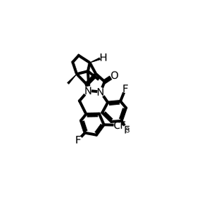 CC1(C)[C@@H]2CC[C@@]1(C)c1c2c(=O)n(-c2ccc(F)cc2F)n1Cc1cc(F)cc(C(F)(F)F)c1